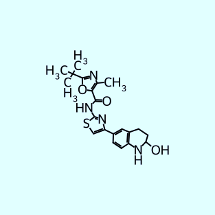 Cc1nc(C(C)(C)C)oc1C(=O)Nc1nc(-c2ccc3c(c2)CCC(O)N3)cs1